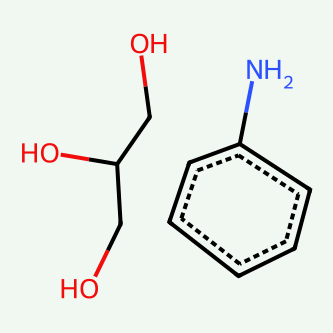 Nc1ccccc1.OCC(O)CO